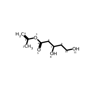 C=C(C)OC(=O)CC(O)CCO